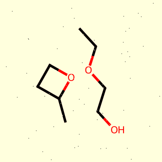 CC1CCO1.CCOCCO